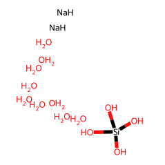 O.O.O.O.O.O.O.O.O.O[Si](O)(O)O.[NaH].[NaH]